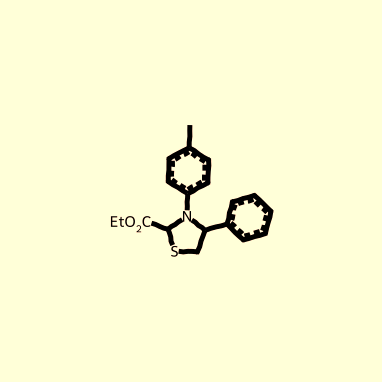 CCOC(=O)C1SCC(c2ccccc2)N1c1ccc(C)cc1